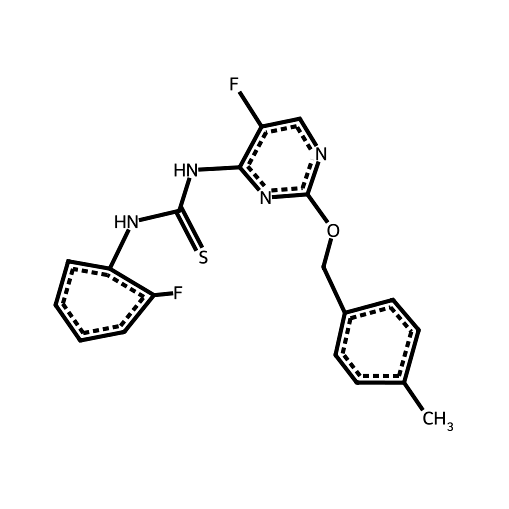 Cc1ccc(COc2ncc(F)c(NC(=S)Nc3ccccc3F)n2)cc1